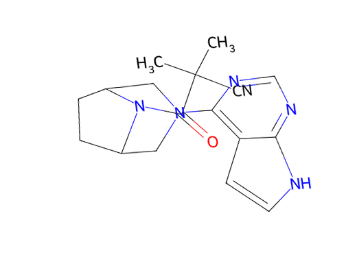 CC(C)(C#N)C(=O)N1C2CCC1CN(c1ncnc3[nH]ccc13)C2